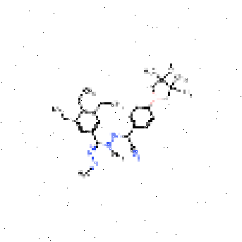 C=N/N=C(/c1cc(CC)c(CC)c(CC)c1)N(C)NC(C#N)c1ccc(B2CC(C)(C)C(C)(C)C2)cc1